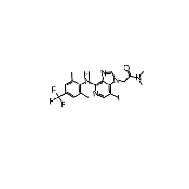 Cc1cc(C(F)(F)F)cc(C)c1Nc1ncc(I)c2c1ncn2CC(=O)N(C)C